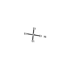 CC[N+](CC)(CC)CC.[Ni]